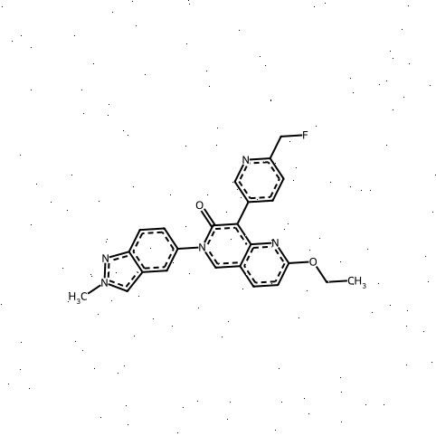 CCOc1ccc2cn(-c3ccc4nn(C)cc4c3)c(=O)c(-c3ccc(CF)nc3)c2n1